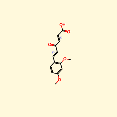 COc1ccc(/C=C/C(=O)/C=C/C(=O)O)c(OC)c1